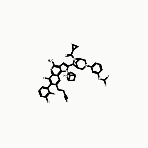 Cc1nc2c(F)c(-c3cccc(Cl)c3Cl)c(CCC#N)cc2c2c1cc(C1C3CC(CN(c4cccc(OC(F)F)c4)C3)N1C(=O)C1CC1)n2C1C2CNC1C2